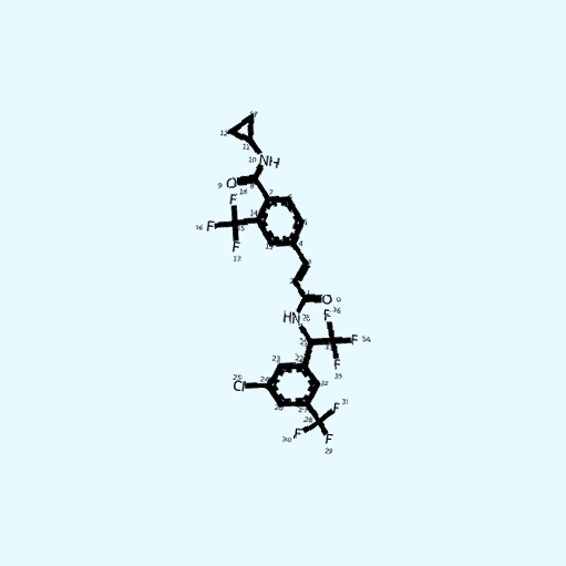 O=C(C=Cc1ccc(C(=O)NC2CC2)c(C(F)(F)F)c1)NC(c1cc(Cl)cc(C(F)(F)F)c1)C(F)(F)F